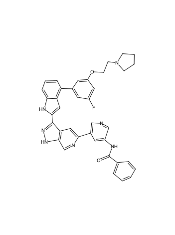 O=C(Nc1cncc(-c2cc3c(-c4cc5c(-c6cc(F)cc(OCCN7CCCC7)c6)cccc5[nH]4)n[nH]c3cn2)c1)c1ccccc1